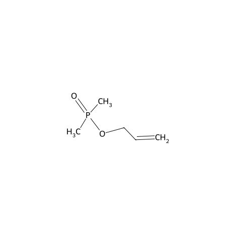 C=CCOP(C)(C)=O